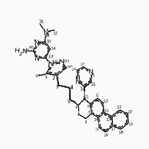 Cc1c(CCCC2CCc3c(ccc4c3ccc3ccccc34)C2c2cnccn2)cnn1-c1cc(N(C)C)nc(N)n1